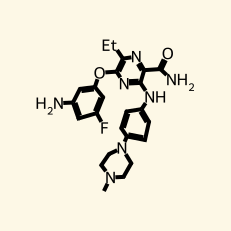 CCc1nc(C(N)=O)c(Nc2ccc(N3CCN(C)CC3)cc2)nc1Oc1cc(N)cc(F)c1